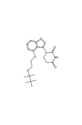 CC(C)(C)[Si](C)(C)OCCOc1cccc2occ(C3CCC(=O)NC3=O)c12